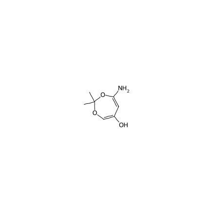 CC1(C)OC=C(O)C=C(N)O1